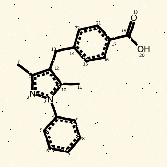 Cc1nn(-c2ccccc2)c(C)c1Cc1ccc(C(=O)O)cc1